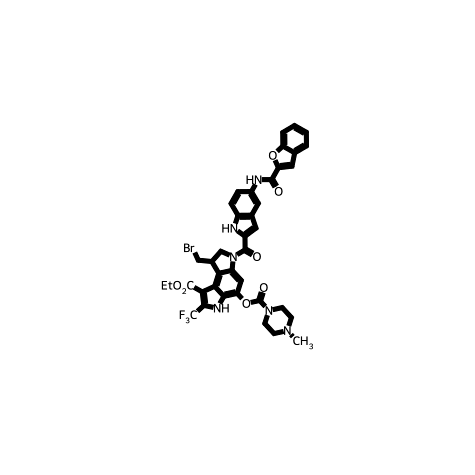 CCOC(=O)c1c(C(F)(F)F)[nH]c2c(OC(=O)N3CCN(C)CC3)cc3c(c12)C(CBr)CN3C(=O)c1cc2cc(NC(=O)c3cc4ccccc4o3)ccc2[nH]1